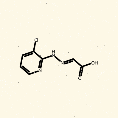 O=C(O)C=NNc1ncccc1Cl